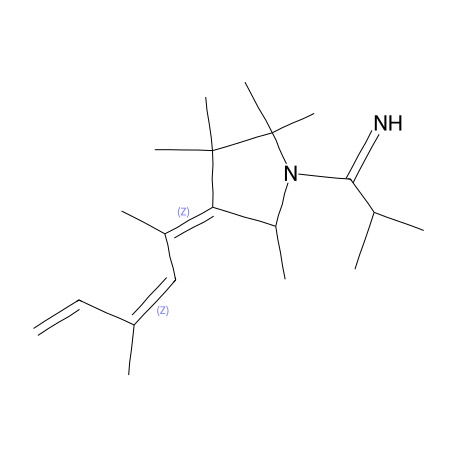 C=C/C(C)=C\C(C)=C1/C(C)N(C(=N)C(C)C)C(C)(C)C1(C)C